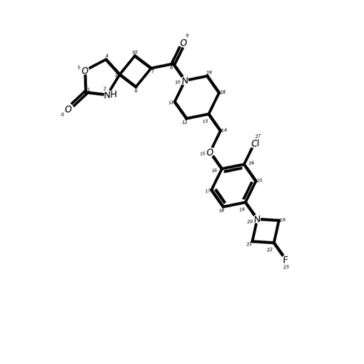 O=C1NC2(CO1)CC(C(=O)N1CCC(COc3ccc(N4CC(F)C4)cc3Cl)CC1)C2